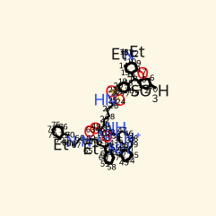 C=c1ccc2c(c1)Oc1cc(N(CC)CC)ccc1C=2c1ccc(S(=O)(=O)NCCCCC(NC(=O)C2=CC[N+](C)(Cc3ccccc3)CC2)C(=O)NC(Cc2c[nH]c3ccccc23)C(=O)N(CC)CCN(CC)Cc2ccccc2)cc1S(=O)(=O)O